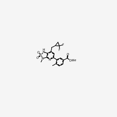 COC(=O)c1ccc(C)c(-c2cc(CC3CC3(F)F)c3c(n2)N(C)S(=O)(=O)N3)c1